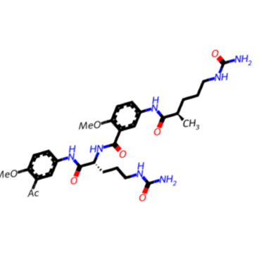 COc1ccc(NC(=O)[C@@H](CCCNC(N)=O)NC(=O)c2cc(NC(=O)[C@H](C)CCCNC(N)=O)ccc2OC)cc1C(C)=O